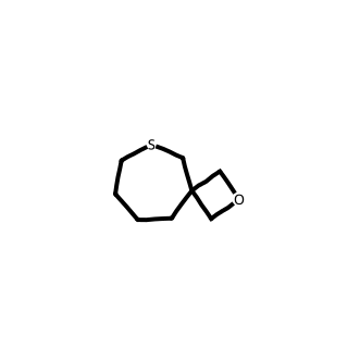 C1CCC2(COC2)CSC1